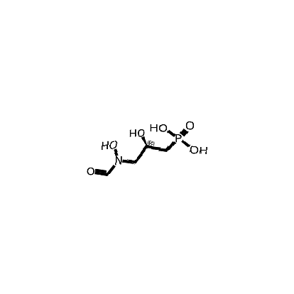 O=CN(O)C[C@@H](O)CP(=O)(O)O